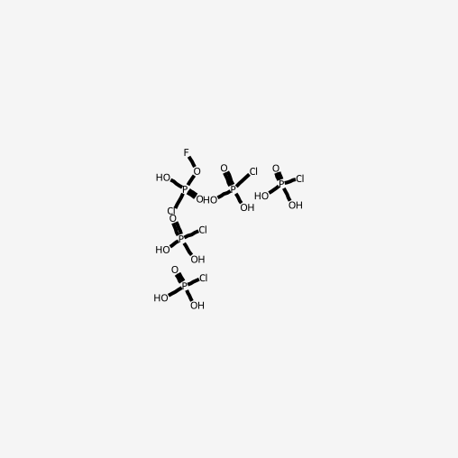 O=P(O)(Cl)OF.O=P(O)(O)Cl.O=P(O)(O)Cl.O=P(O)(O)Cl.O=P(O)(O)Cl